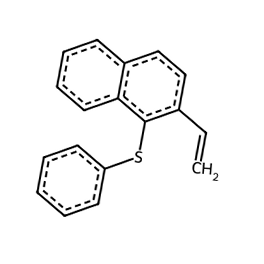 C=Cc1ccc2ccccc2c1Sc1ccccc1